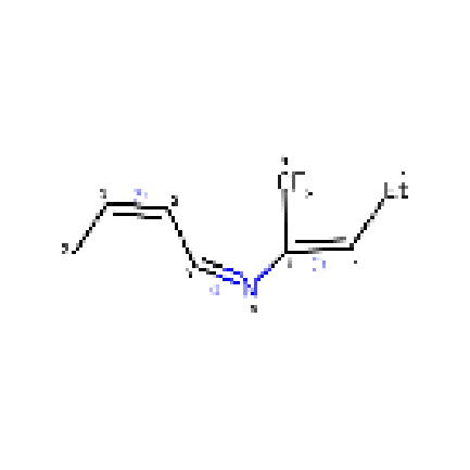 C\C=C/C=N\C(=C\CC)C(F)(F)F